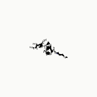 CSCC/C=N/Nc1ncnc2c1ncn2[C@@H]1O[C@H](CO)[C@@H](O)[C@H]1O